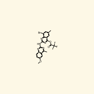 COc1ccc2nc(Nc3nc(OC(=O)C(F)(F)F)c4cc(C)cc(Br)c4n3)nc(C)c2c1